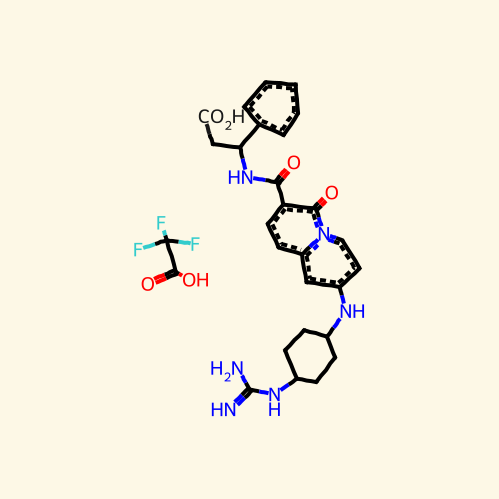 N=C(N)NC1CCC(Nc2ccn3c(=O)c(C(=O)NC(CC(=O)O)c4ccccc4)ccc3c2)CC1.O=C(O)C(F)(F)F